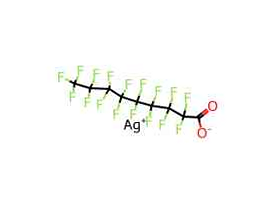 O=C([O-])C(F)(F)C(F)(F)C(F)(F)C(F)(F)C(F)(F)C(F)(F)C(F)(F)C(F)(F)F.[Ag+]